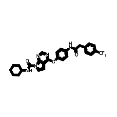 O=C(Cc1ccc(C(F)(F)F)cc1)Nc1ccc(Oc2ncnc3c2ccn3C(=O)NC2CCCCC2)cc1